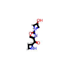 O=C(c1coc(N2CC(O)C2)n1)C1CCN1